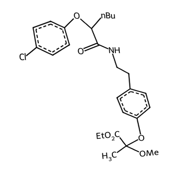 CCCCC(Oc1ccc(Cl)cc1)C(=O)NCCc1ccc(OC(C)(OC)C(=O)OCC)cc1